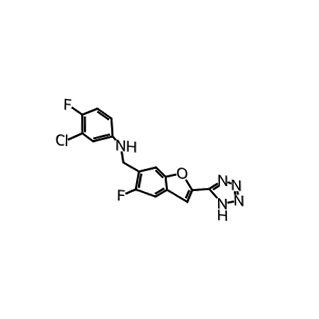 Fc1ccc(NCc2cc3oc(-c4nnn[nH]4)cc3cc2F)cc1Cl